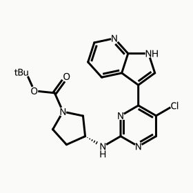 CC(C)(C)OC(=O)N1CC[C@@H](Nc2ncc(Cl)c(-c3c[nH]c4ncccc34)n2)C1